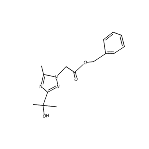 Cc1nc(C(C)(C)O)nn1CC(=O)OCc1ccccc1